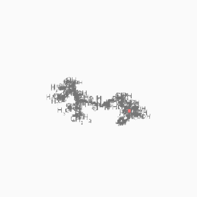 CCC(=O)OC[C@H](NC(=O)C[C@@H](CC)OC(=O)CC)[C@H](OCCNC(=O)CCC(=O)NCc1cn(CCOC2OC(CO)[C@@H](O[C@@H]3OC(CO)[C@H](O)C(O[C@]4(C(=O)O)C[C@@H](O)[C@@H](NC(=O)Cc5ccccc5)C([C@H](O)[C@H](O)CO)O4)[C@@H]3O)[C@H](O)[C@@H]2O)nn1)OC(CO[C@@H]1OC(CO)[C@@H](OP(=O)(O)O)C(OC(=O)CC)C1NC(=O)C[C@@H](CC)OC(=O)CC)[C@H](C)O